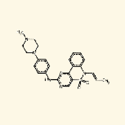 CC=CN1c2ccccc2-c2nc(Nc3ccc(N4CCN(C)CC4)cc3)ncc2S1(=O)=O